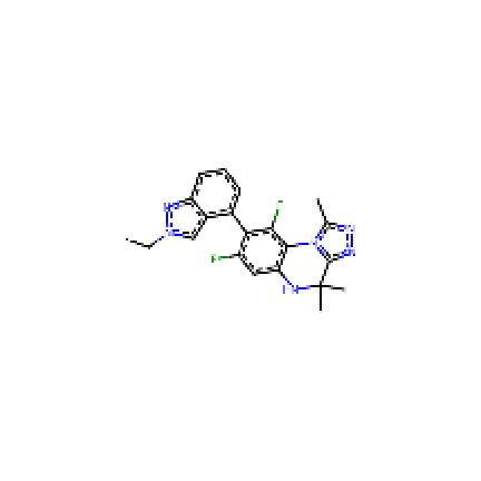 CCn1cc2c(-c3c(F)cc4c(c3F)-n3c(C)nnc3C(C)(C)N4)cccc2n1